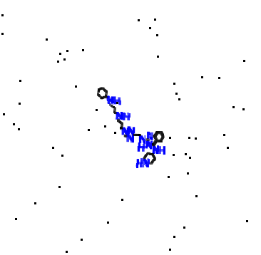 c1ccc2c(NC3CCNCC3)nc(NCc3ncn(CCCNCCCNC4CCCCC4)n3)nc2c1